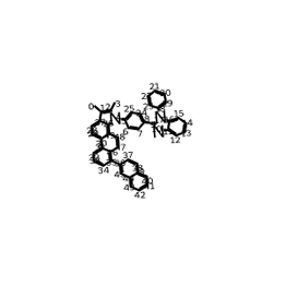 Cc1c(C)n(-c2ccc(-c3nc4ccccc4n3-c3ccccc3)cc2)c2c1ccc1c3cccc(-c4ccc5ccccc5c4)c3ccc12